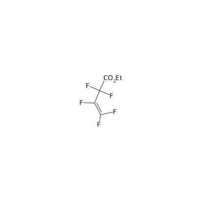 CCOC(=O)C(F)(F)C(F)=C(F)F